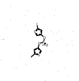 O=[PH](Oc1csc(I)c1)Oc1csc(I)c1